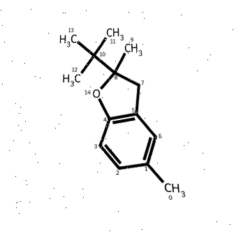 Cc1ccc2c(c1)CC(C)(C(C)(C)C)O2